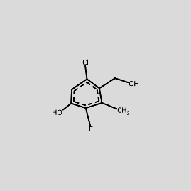 Cc1c(F)c(O)cc(Cl)c1CO